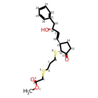 COC(=O)CSCCCS[C@H]1C(=O)CC[C@@H]1C=C[C@H](O)Cc1ccccc1